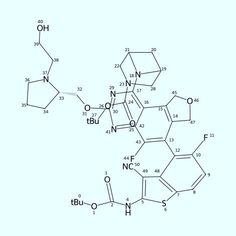 CC(C)(C)OC(=O)Nc1sc2ccc(F)c(-c3c4c(c5c(N6C7CC6CN(C(=O)OC(C)(C)C)C7)nc(OC[C@@H]6CCCN6CCO)nc5c3F)COC4)c2c1C#N